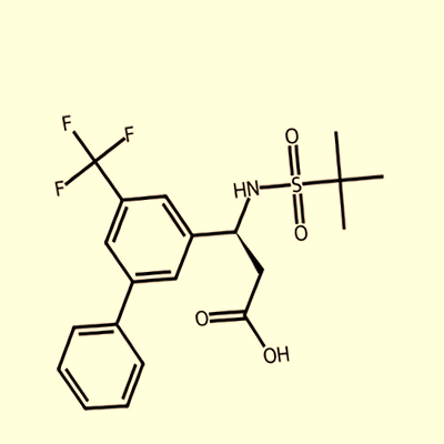 CC(C)(C)S(=O)(=O)N[C@@H](CC(=O)O)c1cc(-c2ccccc2)cc(C(F)(F)F)c1